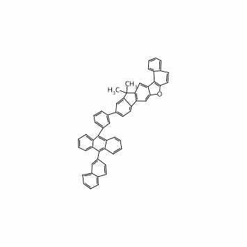 CC1(C)c2cc(-c3cccc(-c4c5ccccc5c(-c5ccc6ccccc6c5)c5ccccc45)c3)ccc2-c2cc3oc4ccc5ccccc5c4c3cc21